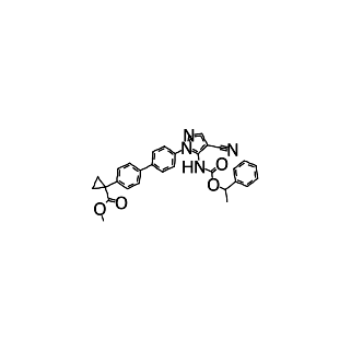 COC(=O)C1(c2ccc(-c3ccc(-n4ncc(C#N)c4NC(=O)OC(C)c4ccccc4)cc3)cc2)CC1